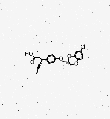 CC#CC(CC(=O)O)c1ccc(OC[C@@H]2COc3ccc(Cl)cc3O2)cc1